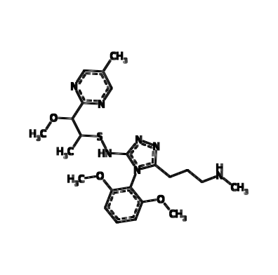 CNCCCc1nnc(NSC(C)C(OC)c2ncc(C)cn2)n1-c1c(OC)cccc1OC